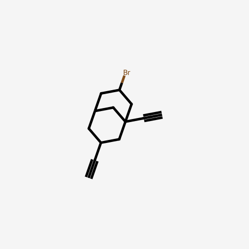 C#CC1CC2CC(Br)CC(C#C)(C1)C2